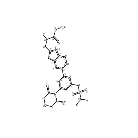 CC[C@H]1COCC(=O)N1c1cc(CS(=O)(=O)N(C)C)cc(-c2ccc3[nH]c(CN(C)C(=O)OC(C)(C)C)cc3n2)n1